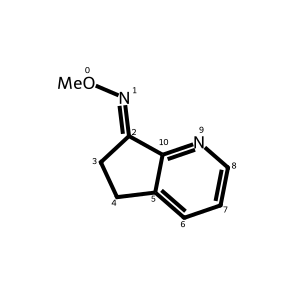 CO/N=C1\CCc2cccnc21